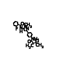 C=C(Cl)C(=C)C(=O)Nc1ccc(-c2cc(NC(=O)c3ccccc3F)n(C)n2)cc1